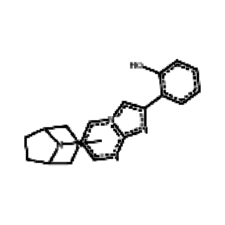 CN1CC2CCC(C1)N2c1cnc2nc(-c3ccccc3O)cn2c1